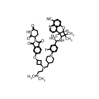 CN(C)CCN(CC1CCN(c2ccc(C(O)NC3C(C)(C)[C@@H]4Oc5ccc(C#N)c6nccc(c56)C34C)cc2F)CC1)C1CC(Oc2ccc3c(c2)C(=O)N(C2CCC(=O)NC2=O)C3=O)C1